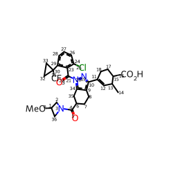 COC1CN(C(=O)C2CCc3c(C4=CC(C)C(C(=O)O)CC4)nn(C(=O)c4c(Cl)cccc4C4(C(F)(F)F)CC4)c3C2)C1